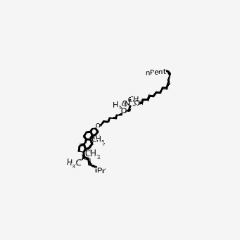 CCCCC/C=C\C/C=C\CCCCCCCCOC[C@H](COCCCCCCCO[C@H]1CC[C@@]2(C)C(=CCC3C2CC[C@@]2(C)C3CC[C@@H]2[C@H](C)CCCC(C)C)C1)N(C)C